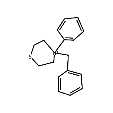 c1ccc(C[N+]2(c3ccccc3)CCSCC2)cc1